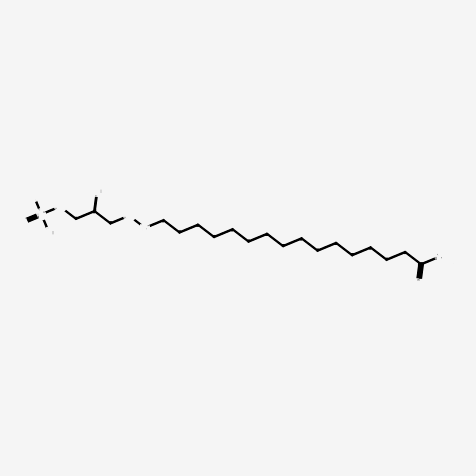 NC(=O)CCCCCCCCCCCCCCCNOCC(O)COP(O)(O)=S